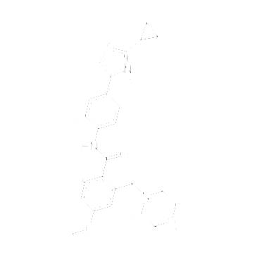 COc1ccc(C(=O)Nc2ccc(-c3csc(C4CC4)n3)cc2)c(CN2CCOCC2)c1